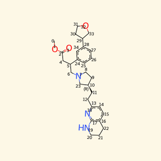 COC(=O)CC(CN1CC[C@@H](CCc2ccc3c(n2)NCCC3)C1)c1cccc(C2CCOC2)c1